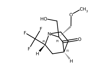 COC[C@]1(CO)C(=O)[C@H]2CCN1[C@@H](C(F)(F)F)C2